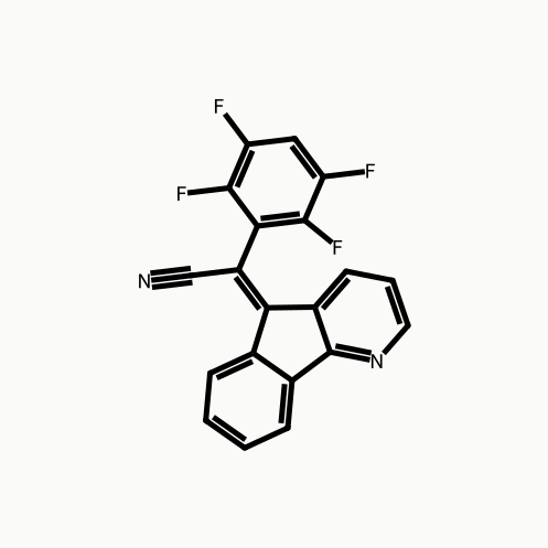 N#C/C(=C1\c2ccccc2-c2ncccc21)c1c(F)c(F)cc(F)c1F